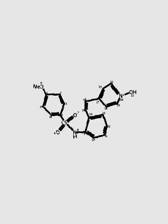 COc1ccc(S(=O)(=O)Nc2ccccc2/C=C\c2cc[n+](O)cc2)cc1